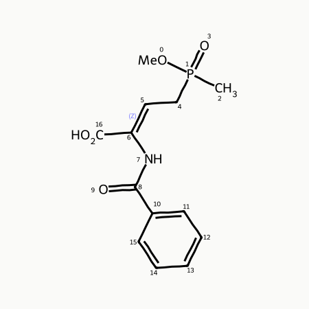 COP(C)(=O)C/C=C(\NC(=O)c1ccccc1)C(=O)O